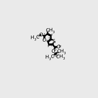 COC(=O)/C(C)=C\c1ccc(C(=O)OC(C)(C)C)s1